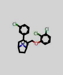 CN1C2CCC1C(COc1cccc(Cl)c1Cl)C(c1cccc(Cl)c1)C2